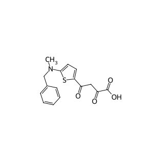 CN(Cc1ccccc1)c1ccc(C(=O)CC(=O)C(=O)O)s1